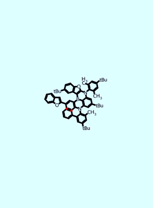 Cc1cc(C(C)(C)C)cc(C)c1N1c2cc(C(C)(C)C)cc3c2B(c2cc(-c4cc5ccccc5o4)ccc2N3c2c(C)cc(C(C)(C)C)cc2-c2ccccc2)c2c1oc1ccc(C(C)(C)C)cc21